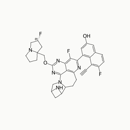 C#Cc1c(F)ccc2cc(O)cc(-c3nc4c5c(nc(OCC67CCCN6C[C@H](F)C7)nc5c3F)N3CC5CC(N5)C3CC4)c12